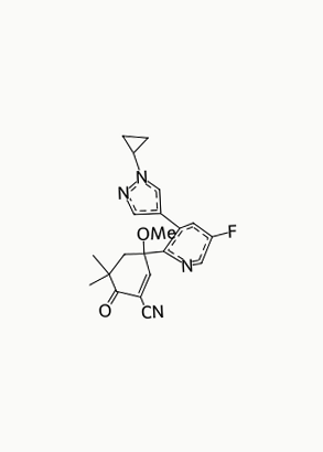 COC1(c2ncc(F)cc2-c2cnn(C3CC3)c2)C=C(C#N)C(=O)C(C)(C)C1